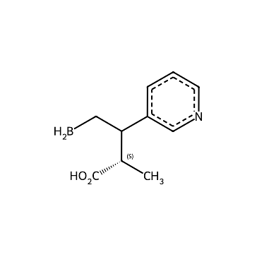 BCC(c1cccnc1)[C@H](C)C(=O)O